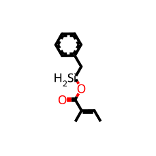 CC=C(C)C(=O)O[SiH2]Cc1ccccc1